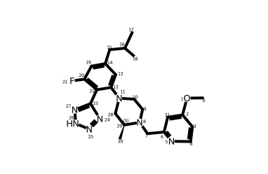 COc1ccnc(CN2CCN(c3cc(CC(C)C)cc(F)c3-c3nn[nH]n3)C[C@@H]2C)c1